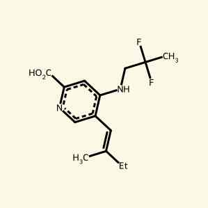 CC/C(C)=C/c1cnc(C(=O)O)cc1NCC(C)(F)F